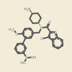 COc1ccc(CN(C(=O)c2sc3ccccc3c2Cl)[C@H]2CC[C@H](N)CC2)cc1-c1cccc(N(O)O)c1